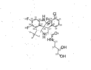 CC(C)(C)C[C@H]1N[C@@H](C(=O)NCC[C@H](O)CO)[C@H](c2cccc(Cl)c2F)[C@@]12C(=O)Nc1cc(F)c(F)cc12